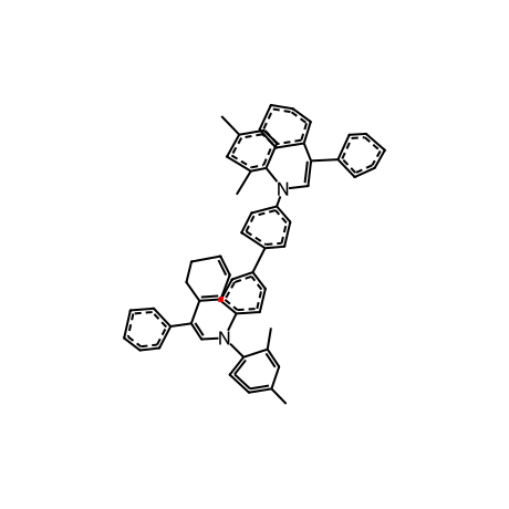 CC1=C=C=C(N(/C=C(\C2=CC=CCC2)c2ccccc2)c2ccc(-c3ccc(N(C=C(c4ccccc4)c4ccccc4)c4ccc(C)cc4C)cc3)cc2)C(C)=C1